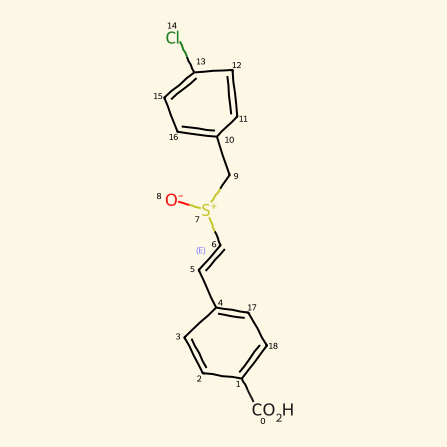 O=C(O)c1ccc(/C=C/[S+]([O-])Cc2ccc(Cl)cc2)cc1